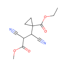 CCOC(=O)C1(C(C#N)C(C#N)C(=O)OC)CC1